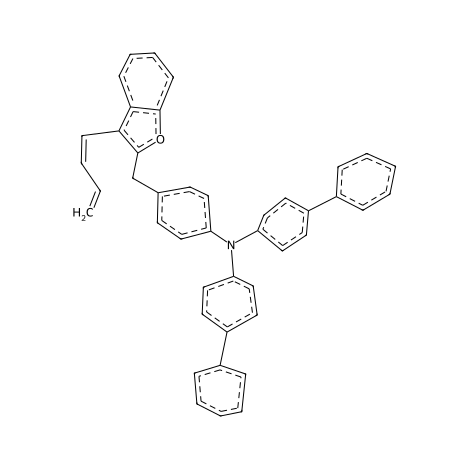 C=C/C=C\c1c(Cc2ccc(N(c3ccc(-c4ccccc4)cc3)c3ccc(-c4ccccc4)cc3)cc2)oc2ccccc12